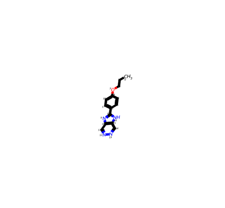 CCCOc1ccc(-c2nc3cnncc3[nH]2)cc1